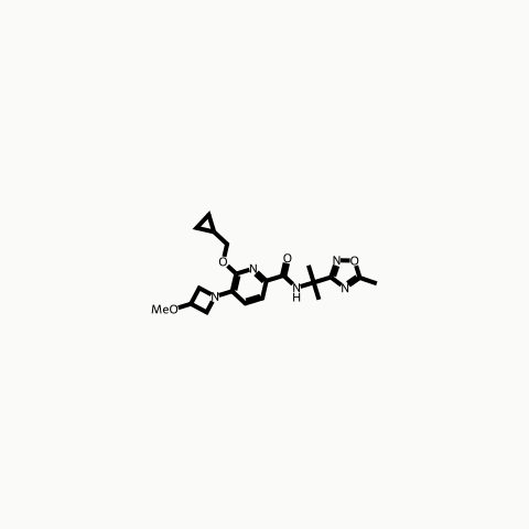 COC1CN(c2ccc(C(=O)NC(C)(C)c3noc(C)n3)nc2OCC2CC2)C1